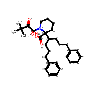 CC(C)(C)C(=O)C(=O)N1CCCCC1(C(=O)O)C(CCCc1ccccc1)CCCc1ccccc1